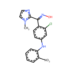 Cn1ccnc1/C(=N/O)c1ccc(Nc2ccccc2[N+](=O)[O-])cc1Cl